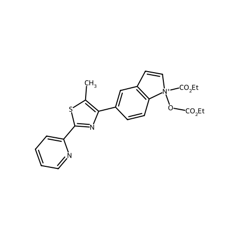 CCOC(=O)O[N+]1(C(=O)OCC)C=Cc2cc(-c3nc(-c4ccccn4)sc3C)ccc21